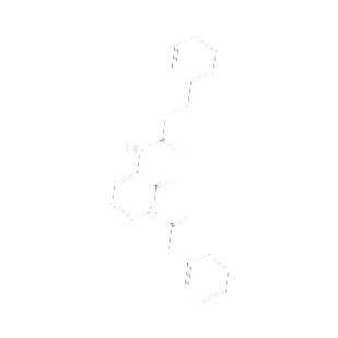 O=C(Nc1cncn(C(=O)Cc2ccccc2)c1=O)OCc1ccccc1